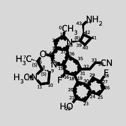 Cc1cc2c(O[C@@H](C)[C@@H]3CCCN3C)nc3c(F)c(-c4cc(O)cc5ccc(F)cc45)c(CCC#N)cc3c2n1[C@@H]1CC[C@@H]1CN